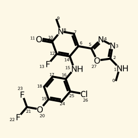 CNc1nnc(-c2cn(C)c(=O)c(F)c2Nc2ccc(OC(F)F)cc2Cl)o1